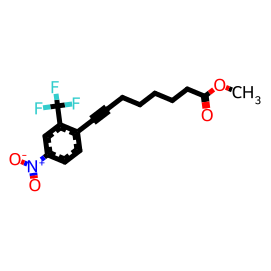 COC(=O)CCCCCC#Cc1ccc([N+](=O)[O-])cc1C(F)(F)F